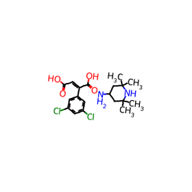 CC1(C)CC(N)CC(C)(C)N1.O=C(O)/C=C(/C(=O)O)c1cc(Cl)cc(Cl)c1